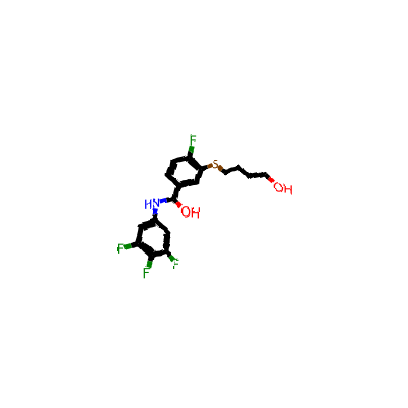 OCCCCSc1cc(C(O)Nc2cc(F)c(F)c(F)c2)ccc1F